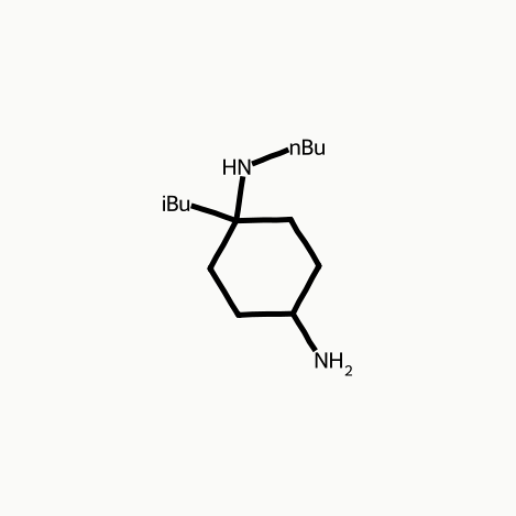 CCCCNC1(C(C)CC)CCC(N)CC1